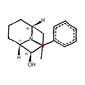 CC(c1ccccc1)N1[C@@H]2CCC[C@H]1[C@H](O)CC2